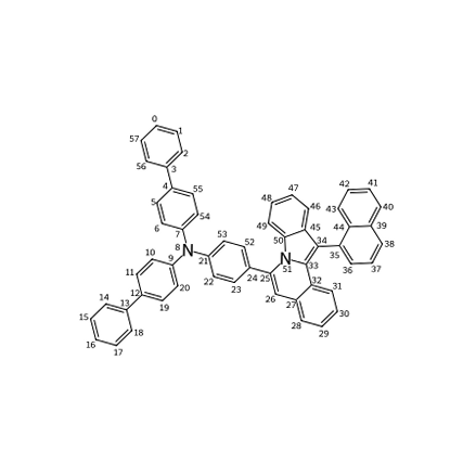 c1ccc(-c2ccc(N(c3ccc(-c4ccccc4)cc3)c3ccc(-c4cc5ccccc5c5c(-c6cccc7ccccc67)c6ccccc6n45)cc3)cc2)cc1